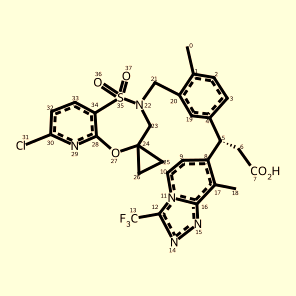 Cc1ccc([C@H](CC(=O)O)c2ccn3c(C(F)(F)F)nnc3c2C)cc1CN1CC2(CC2)Oc2nc(Cl)ccc2S1(=O)=O